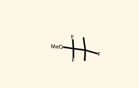 COC(F)(F)C(C)(C)F